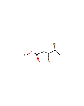 CCOC(=O)CC(Br)C(C)Br